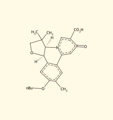 CCCCOc1cc2c(cc1C)-c1cc(=O)c(C(=O)O)cn1[C@H]1[C@@H]2OCC1(C)C